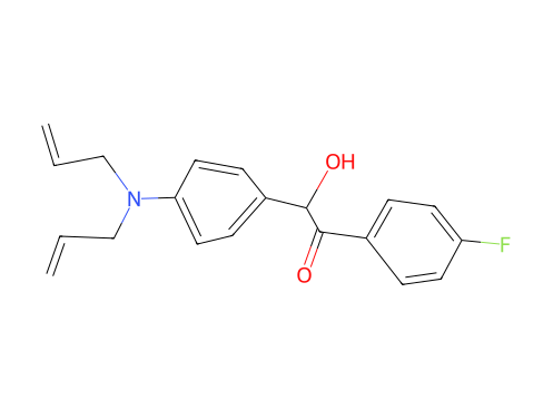 C=CCN(CC=C)c1ccc(C(O)C(=O)c2ccc(F)cc2)cc1